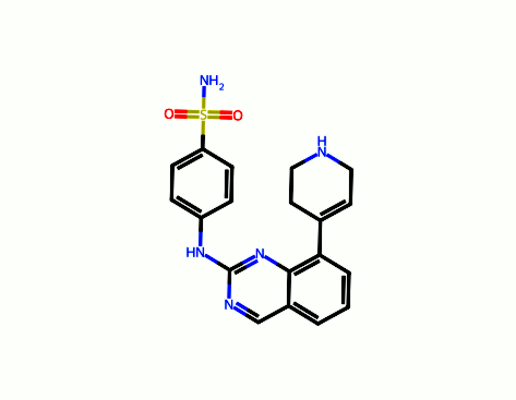 NS(=O)(=O)c1ccc(Nc2ncc3cccc(C4=CCNCC4)c3n2)cc1